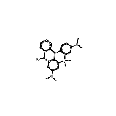 CN(C)c1ccc2c(c1)S(C)(C)c1cc(N(C)C)ccc1C2c1ccccc1C(=O)O